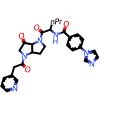 CCCC(NC(=O)c1ccc(-n2ccnc2)cc1)C(=O)N1CCC2C1C(=O)CN2C(=O)Cc1cccnc1